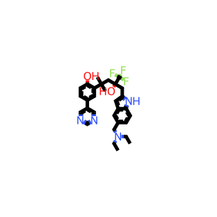 CCN(CC)Cc1ccc2[nH]c(CC(O)(CC(C)(C)c3cc(-c4cncnc4)ccc3O)C(F)(F)F)cc2c1